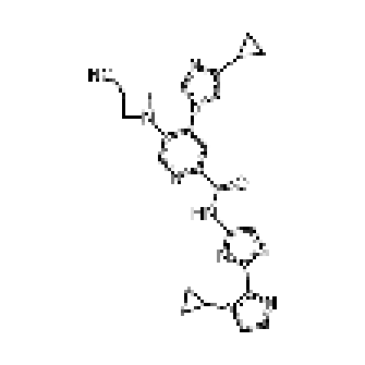 N#CC1CN(c2cnc(C(=O)Nc3csc(-c4nccn4C4CC4)n3)cc2-n2cnc(C3CC3)c2)C1